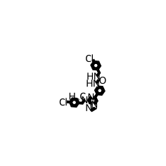 CN(Cc1ccc(Cl)cc1)c1nc(-c2cccc(NC(=O)NCc3ccc(Cl)cc3)c2)cn2ccnc12